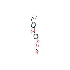 CCC(C)Cc1ccc(OC(=O)c2ccc(OCOCC3CO3)cc2)cc1